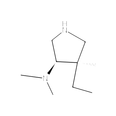 CC[C@]1(C)CNC[C@@H]1N(C)C